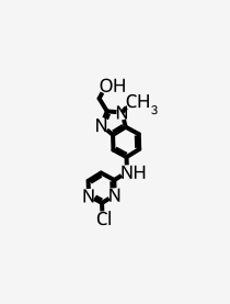 Cn1c(CO)nc2cc(Nc3ccnc(Cl)n3)ccc21